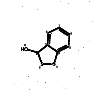 OC1SSc2ccccc21